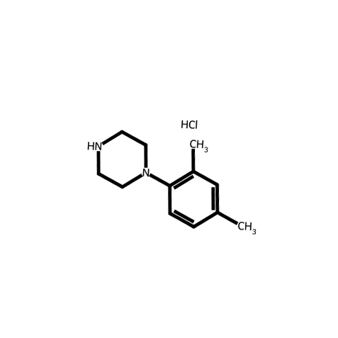 Cc1ccc(N2CCNCC2)c(C)c1.Cl